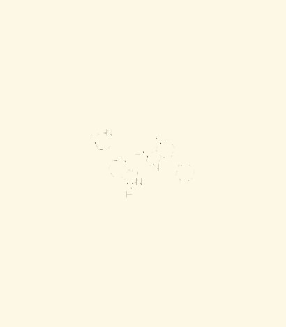 Fc1ccccc1-c1ccnc2[nH]c(-c3n[nH]c4ccc(-c5cncnc5)nc34)nc12